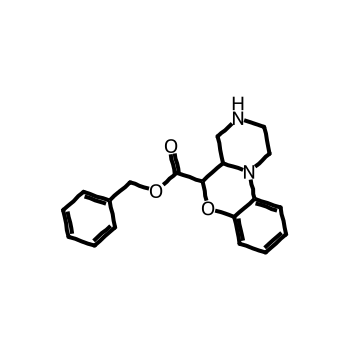 O=C(OCc1ccccc1)C1Oc2ccccc2N2CCNCC12